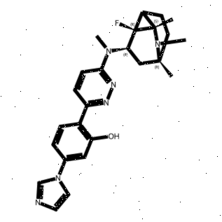 CN(c1ccc(-c2ccc(-n3ccnc3)cc2O)nn1)[C@@H]1C[C@@]2(C)CCC3[C@]1(F)[C@@]3(C)N2C